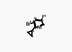 Fc1cnc(C2CC2)c(Br)c1